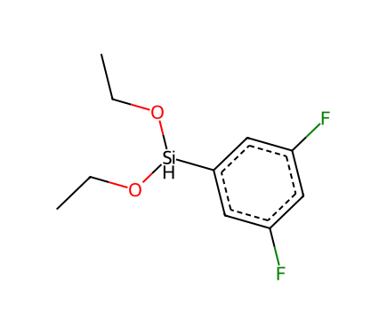 CCO[SiH](OCC)c1cc(F)cc(F)c1